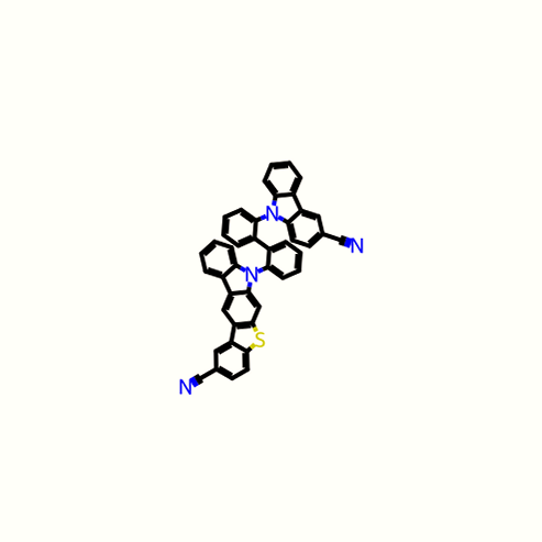 N#Cc1ccc2sc3cc4c(cc3c2c1)c1ccccc1n4-c1ccccc1-c1ccccc1-n1c2ccccc2c2cc(C#N)ccc21